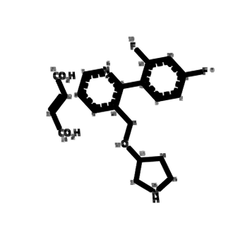 Fc1ccc(-c2ncccc2COC2CCNC2)c(F)c1.O=C(O)C=CC(=O)O